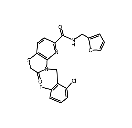 O=C(NCc1ccco1)c1ccc2c(n1)N(Cc1c(F)cccc1Cl)C(=O)CS2